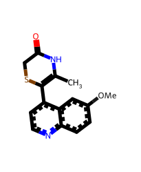 COc1ccc2nccc(C3=C(C)NC(=O)CS3)c2c1